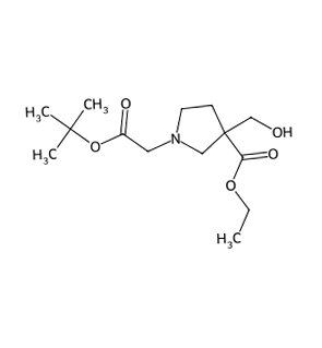 CCOC(=O)C1(CO)CCN(CC(=O)OC(C)(C)C)C1